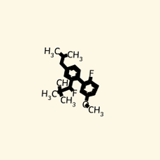 COc1ccc(F)c(-c2ccc(CC(C)C)cc2C(F)C(C)(C)C)c1